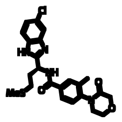 CSCC[C@H](NC(=O)c1ccc(N2CCOCC2=O)c(C)c1)c1nc2cc(Cl)ccc2[nH]1